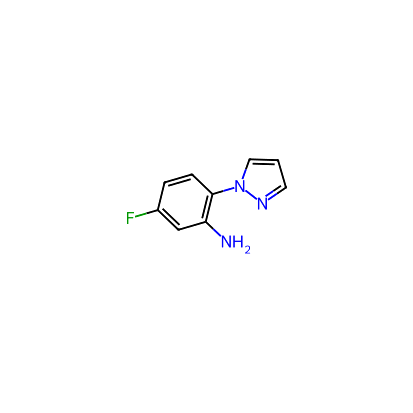 Nc1cc(F)ccc1-n1cccn1